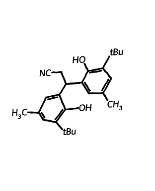 Cc1cc(C(CC#N)c2cc(C)cc(C(C)(C)C)c2O)c(O)c(C(C)(C)C)c1